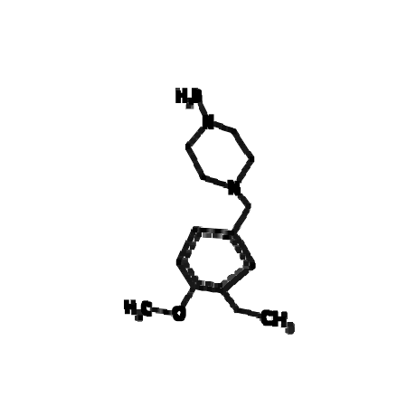 BN1CCN(Cc2ccc(OC)c(CC)c2)CC1